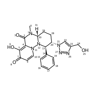 CN1C(=O)c2c(O)c(=O)ccn2N2[C@H](c3ccccc3)[C@@H](n3cc(CO)nn3)CC[C@@H]12